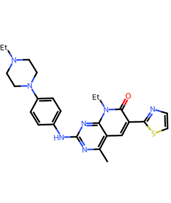 CCN1CCN(c2ccc(Nc3nc(C)c4cc(-c5nccs5)c(=O)n(CC)c4n3)cc2)CC1